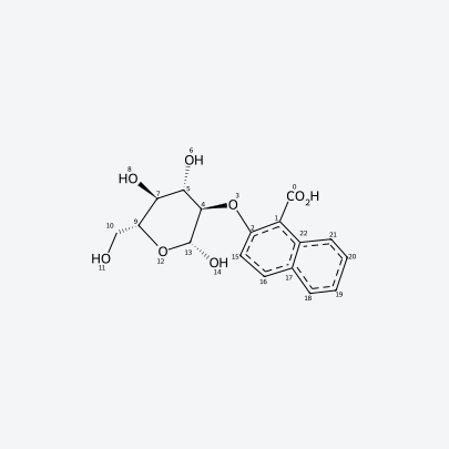 O=C(O)c1c(O[C@@H]2[C@@H](O)[C@H](O)[C@@H](CO)O[C@H]2O)ccc2ccccc12